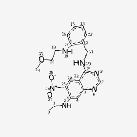 CCNc1cc2ncnc(NCc3ccccc3NCCOC)c2cc1[N+](=O)[O-]